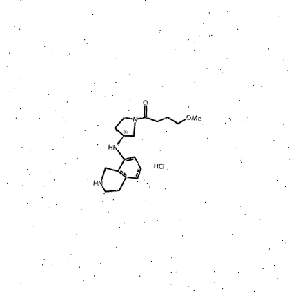 COCCCC(=O)N1CC[C@H](Nc2cccc3c2CNCC3)C1.Cl